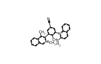 Cc1c(-c2c(C)c3ccccc3c[n+]2C)cc(C#N)cc1-[n+]1c(C)ccc2ccccc21